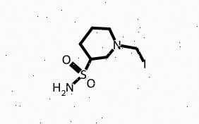 NS(=O)(=O)C1CCCN(CI)C1